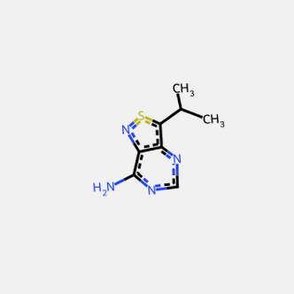 CC(C)c1snc2c(N)ncnc12